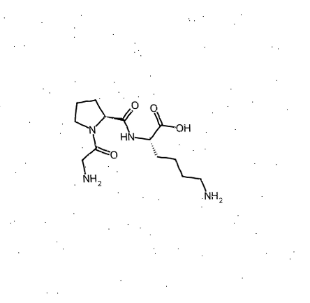 NCCCC[C@H](NC(=O)[C@@H]1CCCN1C(=O)CN)C(=O)O